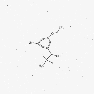 CC(F)(F)C(O)c1cc(Br)cc(OCC(F)(F)F)c1